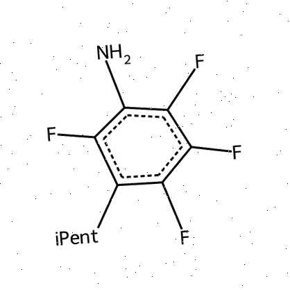 CCCC(C)c1c(F)c(N)c(F)c(F)c1F